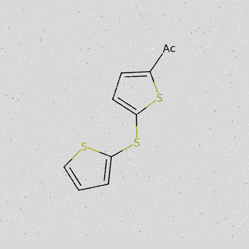 CC(=O)c1ccc(Sc2cccs2)s1